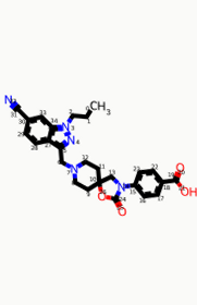 CCCn1nc(CN2CCC3(CC2)CN(c2ccc(C(=O)O)cc2)C(=O)O3)c2ccc(C#N)cc21